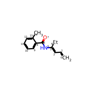 C=C/C=C(\CC)NC(=O)c1ccccc1C